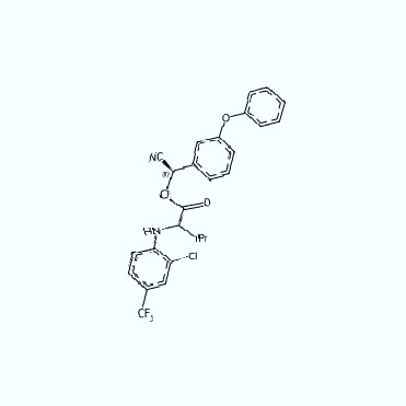 CC(C)C(Nc1ccc(C(F)(F)F)cc1Cl)C(=O)O[C@@H](C#N)c1cccc(Oc2ccccc2)c1